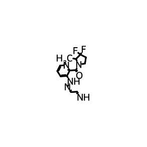 CC1N(C(=O)c2ncccc2N/N=C\C=N)CCC1(F)F